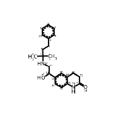 CC(C)(CCc1ccccc1)NCC(O)c1ccc2c(c1)CCC(=O)N2